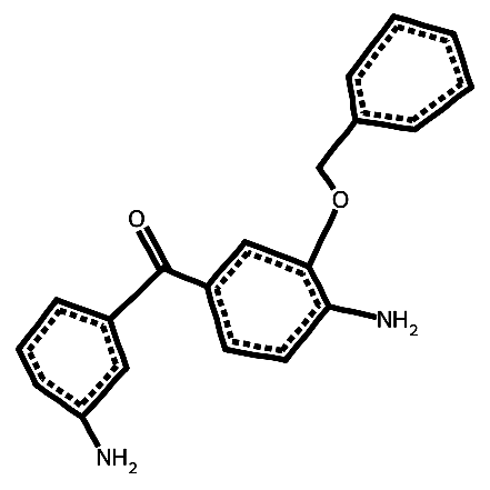 Nc1cccc(C(=O)c2ccc(N)c(OCc3ccccc3)c2)c1